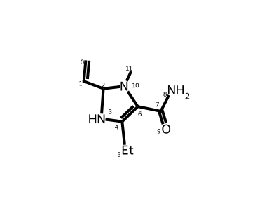 C=CC1NC(CC)=C(C(N)=O)N1C